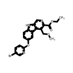 CCOC(=O)c1ncc2[nH]c3ccc(Oc4ccc(Br)cn4)cc3c2c1COC